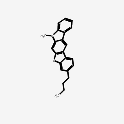 CCCCc1ccc2c(c1)sc1cc3c(cc12)c1ccccc1n3C